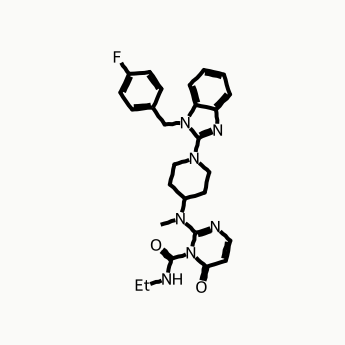 CCNC(=O)n1c(N(C)C2CCN(c3nc4ccccc4n3Cc3ccc(F)cc3)CC2)nccc1=O